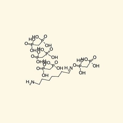 NCCCCCCCN.O=P(O)(O)CP(=O)(O)O.O=P(O)(O)CP(=O)(O)O.O=P(O)(O)CP(=O)(O)O.O=P(O)(O)CP(=O)(O)O